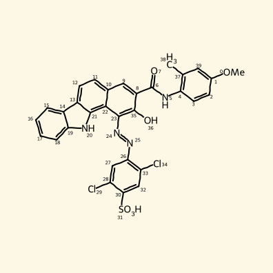 COc1ccc(NC(=O)c2cc3ccc4c5ccccc5[nH]c4c3c(N=Nc3cc(Cl)c(S(=O)(=O)O)cc3Cl)c2O)c(C)c1